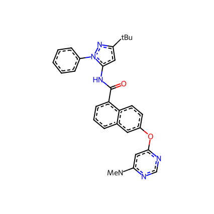 CNc1cc(Oc2ccc3c(C(=O)Nc4cc(C(C)(C)C)nn4-c4ccccc4)cccc3c2)ncn1